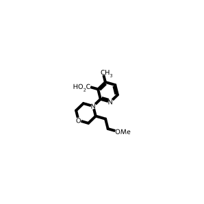 COCCC1COCCN1c1nccc(C)c1C(=O)O